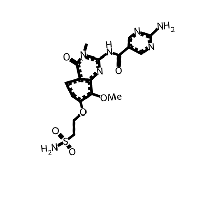 COc1c(OCCS(N)(=O)=O)ccc2c(=O)n(C)c(NC(=O)c3cnc(N)nc3)nc12